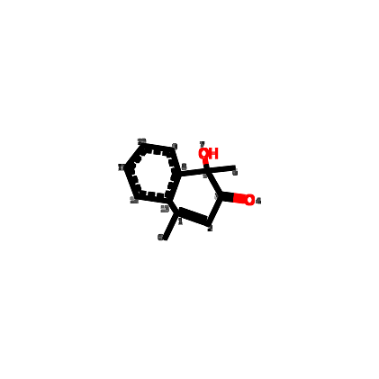 CC1=CC(=O)C(C)(O)c2ccccc21